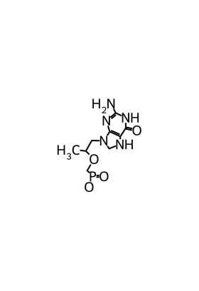 CC(CN1CNc2c1nc(N)[nH]c2=O)OCP(=O)=O